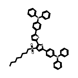 CCCCCCCCS(=O)(=O)c1cc(-c2ccc(N(c3ccccc3)c3ccccc3)cc2)sc1-c1ccc(-c2ccc(N(c3ccccc3)c3ccccc3)cc2)s1